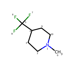 CN1CC[C](C(F)(F)F)CC1